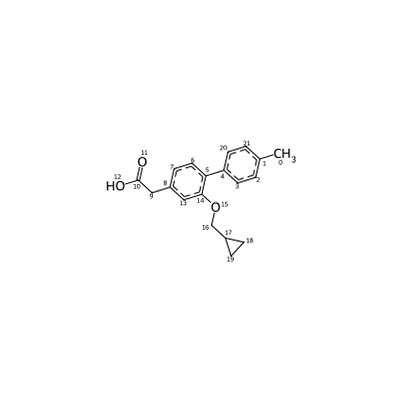 Cc1ccc(-c2ccc(CC(=O)O)cc2OCC2CC2)cc1